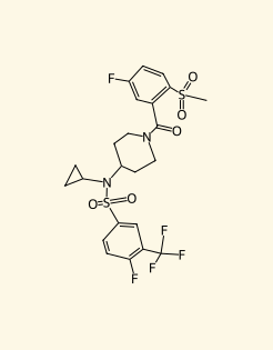 CS(=O)(=O)c1ccc(F)cc1C(=O)N1CCC(N(C2CC2)S(=O)(=O)c2ccc(F)c(C(F)(F)F)c2)CC1